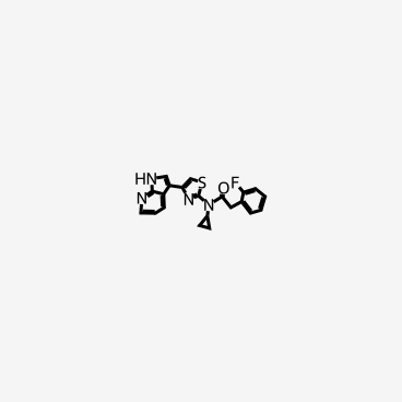 O=C(Cc1ccccc1F)N(c1nc(-c2c[nH]c3ncccc23)cs1)C1CC1